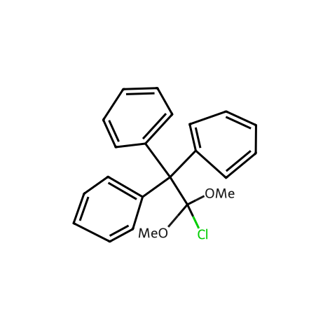 COC(Cl)(OC)C(c1ccccc1)(c1ccccc1)c1ccccc1